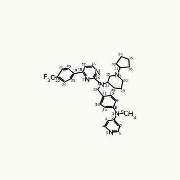 CN(c1ccncc1)c1ccc(CN(c2nccc(-c3ccc(C(F)(F)F)cc3)n2)C2CCCN(C3CCCC3)C2)cc1